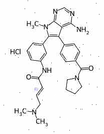 CN(C)C/C=C/C(=O)Nc1cccc(-c2c(-c3ccc(C(=O)N4CCCC4)cc3)c3c(N)ncnc3n2C)c1.Cl